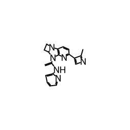 C=C(Nc1ccccn1)N1c2nc(C3=CN=C3C)ccc2N2CCC21